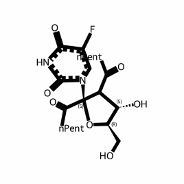 CCCCCC(=O)C1[C@H](O)[C@@H](CO)O[C@@]1(C(=O)CCCCC)n1cc(F)c(=O)[nH]c1=O